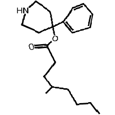 CCCCC(C)CCC(=O)OC1(c2ccccc2)CCNCC1